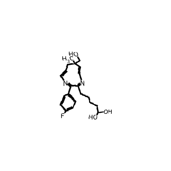 CC1(CO)/C=C/N=C(CCCCC(O)O)\C(c2ccc(F)cc2)=N/C=C/C1